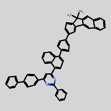 CC1(C)c2ccc(-c3ccc(-c4ccc(-c5cc(-c6ccc(-c7ccccc7)cc6)nc(-c6ccccc6)n5)c5ccccc45)cc3)cc2-c2cc3ccccc3cc21